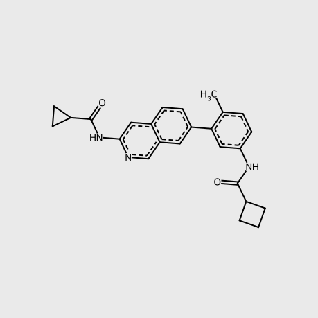 Cc1ccc(NC(=O)C2CCC2)cc1-c1ccc2cc(NC(=O)C3CC3)ncc2c1